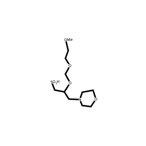 COCCOCOC(CN1CCOCC1)CS(=O)(=O)O